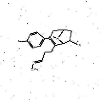 CON=CCCC1=C(c2ccc(F)cc2)CC2CC(O)C1N2C